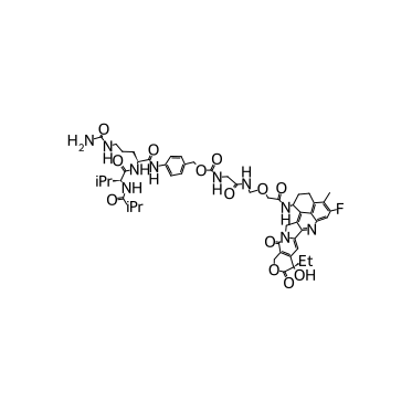 CC[C@@]1(O)C(=O)OCc2c1cc1n(c2=O)Cc2c-1nc1cc(F)c(C)c3c1c2[C@@H](NC(=O)COCNC(=O)CNC(=O)OCc1ccc(NC(=O)[C@H](CCCNC(N)=O)NC(=O)[C@@H](NC(=O)C(C)C)C(C)C)cc1)CC3